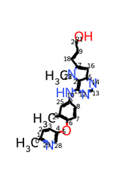 Cc1ccc(Oc2ccc(Nc3ncnc4cc(/C=C/CO)n(C)c34)cc2C)cn1